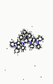 C1=CCCC(N2c3c(ccc4c3c3ccccc3n4-c3cc(-n4c5ccccc5c5c6c(ccc54)c4ccccc4n6C4=CCCC=C4)cc([Si](c4ccccc4)(c4ccccc4)c4ccccc4)c3)C3C=CC=CC32)=C1